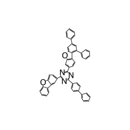 c1ccc(-c2ccc(-c3nc(-c4ccc5c(c4)oc4cc(-c6ccccc6)cc(-c6ccccc6)c45)nc(-c4ccc5oc6ccccc6c5c4)n3)cc2)cc1